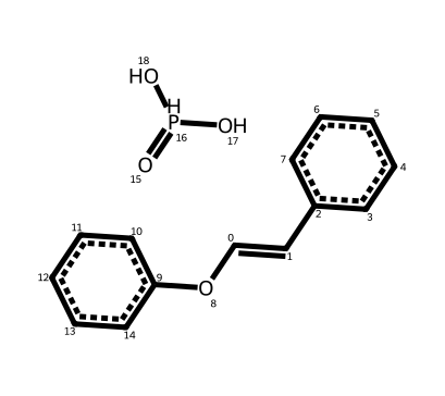 C(=Cc1ccccc1)Oc1ccccc1.O=[PH](O)O